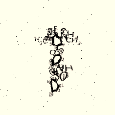 CN(C)c1cc(C2Oc3ccc(NS(=O)(=O)c4ccccc4)cc3O2)cc(N(C)C)c1F